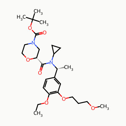 CCOc1ccc([C@@H](C)N(C(=O)[C@H]2CN(C(=O)OC(C)(C)C)CCO2)C2CC2)cc1OCCCOC